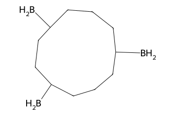 BC1CCCC(B)CCC(B)CCC1